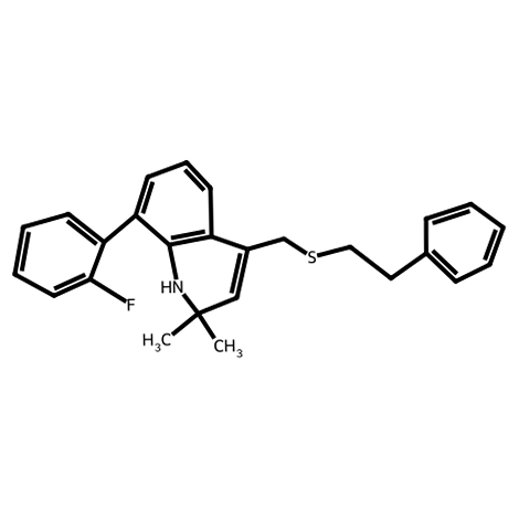 CC1(C)C=C(CSCCc2ccccc2)c2cccc(-c3ccccc3F)c2N1